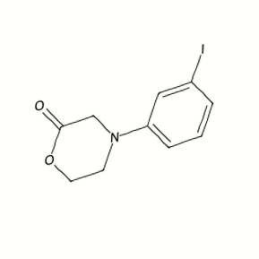 O=C1CN(c2cccc(I)c2)CCO1